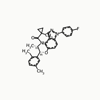 Cc1ccc(C)c([C@@H](Oc2ccc3c(cnn3-c3ccc(F)cc3)c2)[C@H](C)NC(=O)C2(C)CC2)c1